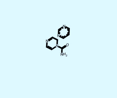 NC(=O)N1C=CN=CC1.c1cncnc1